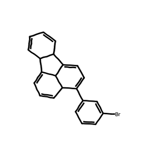 Brc1cccc(C2=CC=C3C4C=CC=CC4C4=CC=CC2C43)c1